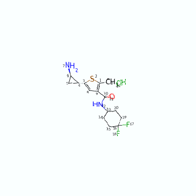 Cc1sc([C@@H]2C[C@H]2N)cc1C(=O)NC1CCC(F)(F)CC1.Cl